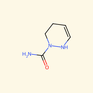 NC(=O)N1CCC=CN1